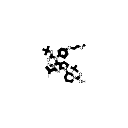 COCCOc1ccc(N(C(=O)OC(C)(C)C)c2c3c(nc4c(I)cnn24)N(C2CCCN(C(=O)O)[C@H]2C(C)(C)C)CC3)cc1